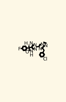 CC1(c2ccc(F)cc2)C(=O)Nc2nc(-c3cn4ccnc4c(Cc4cccc(Cl)c4)n3)nc(N)c21